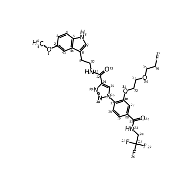 COc1ccc2[nH]cc(CCNC(=O)c3cn(-c4ccc(C(=O)NCC(F)(F)F)cc4OCCOCCF)nn3)c2c1